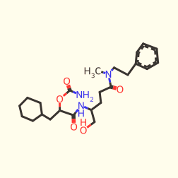 CN(CCc1ccccc1)C(=O)CCC(CO)NC(=O)C(CC1CCCCC1)OC(N)=O